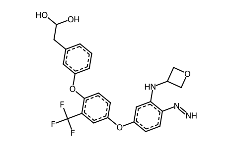 N=Nc1ccc(Oc2ccc(Oc3cccc(CC(O)O)c3)c(C(F)(F)F)c2)cc1NC1COC1